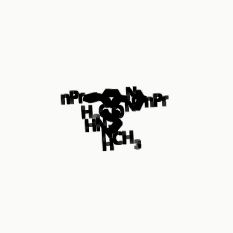 CCCC#Cc1ccc(-c2ncc(CCC)cn2)c(OC2=C(C)NNC(C)=C2)c1